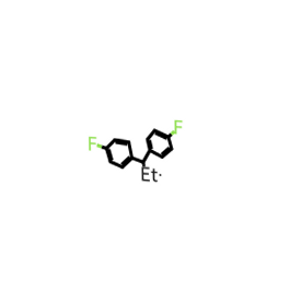 C[CH]C(c1ccc(F)cc1)c1ccc(F)cc1